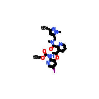 CC(Oc1cc(I)cnc1NC(=O)OC(C)(C)C)c1cccnc1C(=O)N(C)Cc1cc(C(C)(C)C)nn1C